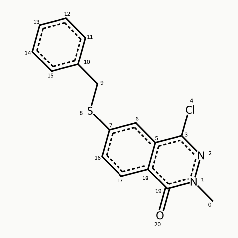 Cn1nc(Cl)c2cc(SCc3ccccc3)ccc2c1=O